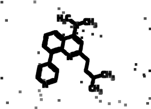 CC(C)CCc1cc(N(C)C)c2cccc(-c3ccncc3)c2n1